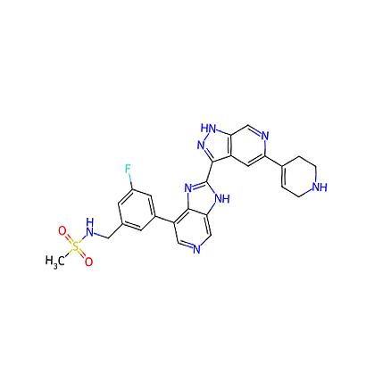 CS(=O)(=O)NCc1cc(F)cc(-c2cncc3[nH]c(-c4n[nH]c5cnc(C6=CCNCC6)cc45)nc23)c1